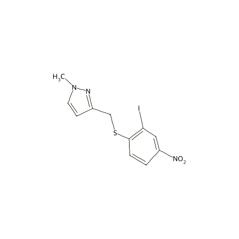 Cn1ccc(CSc2ccc([N+](=O)[O-])cc2I)n1